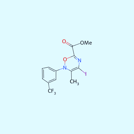 COC(=O)C1=NC(I)=C(C)N(c2cccc(C(F)(F)F)c2)O1